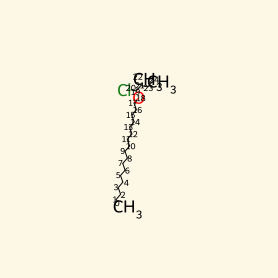 CCCCCCCCCCCCCCCCCCOC(Cl)C(C)CC